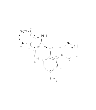 Cc1ccc(Sc2[nH]c3ccccc3c2C)c(N2CCNCC2)c1